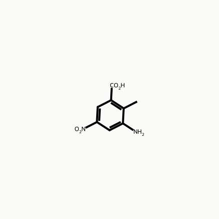 Cc1c(N)cc([N+](=O)[O-])cc1C(=O)O